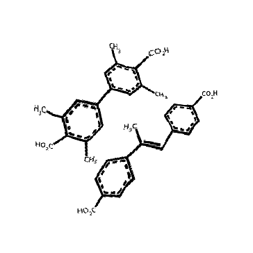 C/C(=C\c1ccc(C(=O)O)cc1)c1ccc(C(=O)O)cc1.Cc1cc(-c2cc(C)c(C(=O)O)c(C)c2)cc(C)c1C(=O)O